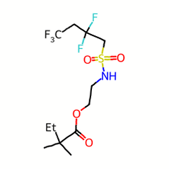 CCC(C)(C)C(=O)OCCNS(=O)(=O)CC(F)(F)CC(F)(F)F